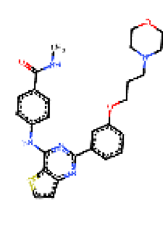 CNC(=O)c1ccc(Nc2nc(-c3cccc(OCCCN4CCOCC4)c3)nc3ccsc23)cc1